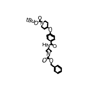 CC(C)(C)OC(=O)N1CCC(Oc2ccc(C(=O)NC3CN(C(=O)OCc4ccccc4)C3)cc2)CC1